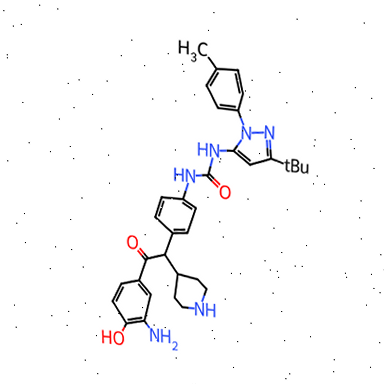 Cc1ccc(-n2nc(C(C)(C)C)cc2NC(=O)Nc2ccc(C(C(=O)c3ccc(O)c(N)c3)C3CCNCC3)cc2)cc1